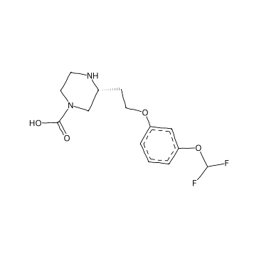 O=C(O)N1CCN[C@H](CCOc2cccc(OC(F)F)c2)C1